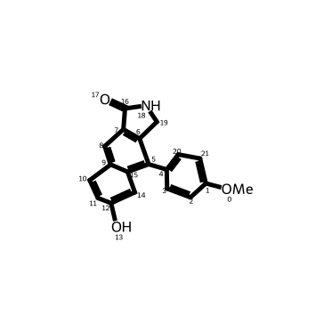 COc1ccc(-c2c3c(cc4ccc(O)cc24)C(=O)NC3)cc1